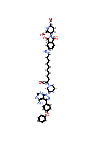 Nc1ncnc2c1c(-c1ccc(Oc3ccccc3)cc1)nn2C1CCCN(C(=C=O)CCCCCCCCCNc2ccc3c(c2)C(=O)N(C2CCC(=C=O)NC2=C=O)C3=O)C1